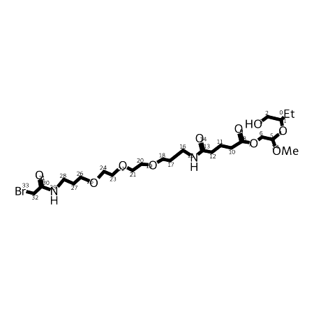 CCC(CO)OC(COC(=O)CCCC(=O)NCCCOCCOCCOCCCNC(=O)CBr)OC